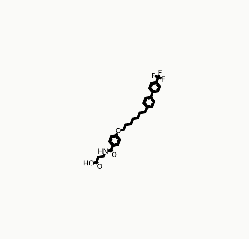 O=C(O)CCNC(=O)c1ccc(OCCCCCCCc2ccc(-c3ccc(C(F)(F)F)cc3)cc2)cc1